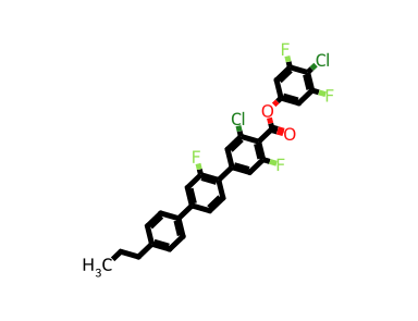 CCCc1ccc(-c2ccc(-c3cc(F)c(C(=O)Oc4cc(F)c(Cl)c(F)c4)c(Cl)c3)c(F)c2)cc1